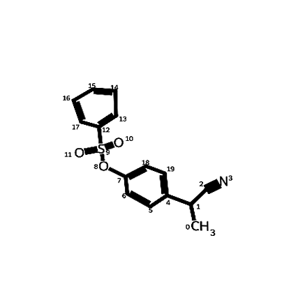 CC(C#N)c1ccc(OS(=O)(=O)c2ccccc2)cc1